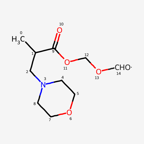 CC(CN1CCOCC1)C(=O)OCO[C]=O